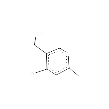 CSCc1cnc(C)cc1C(C)C